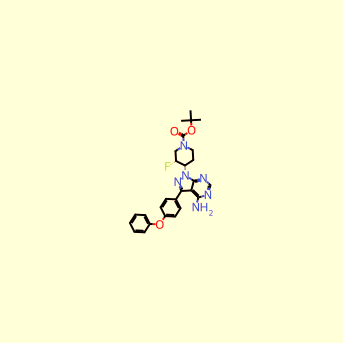 CC(C)(C)OC(=O)N1CC[C@H](n2nc(-c3ccc(Oc4ccccc4)cc3)c3c(N)ncnc32)[C@H](F)C1